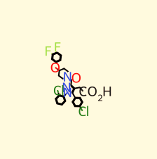 O=C(O)Cc1c(C(=O)N2CCC(Oc3ccc(F)c(F)c3)CC2)nn(-c2ccccc2Cl)c1-c1ccc(Cl)cc1